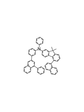 CC1(C)c2cc(N(c3ccccc3)c3cccc(-c4cc(-c5ccccc5)c5ccccc5c4)c3)ccc2-c2c(-c3cccc4ccccc34)cccc21